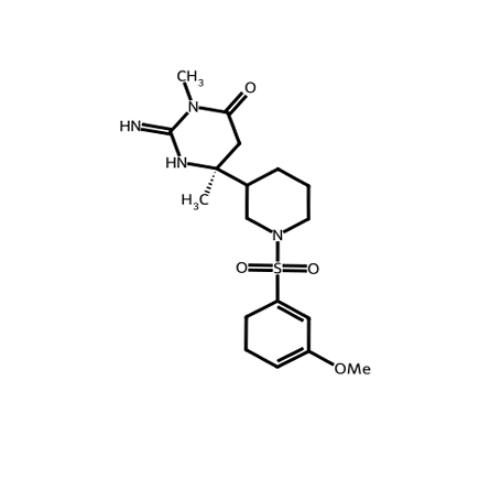 COC1=CCCC(S(=O)(=O)N2CCCC([C@]3(C)CC(=O)N(C)C(=N)N3)C2)=C1